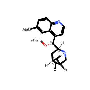 CCCCCO[C@H](c1ccnc2ccc(OC)cc12)[C@@H]1C[C@@H]2CCN1C[C@@H]2CC